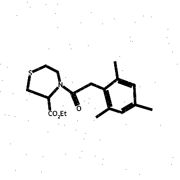 CCOC(=O)C1CSCCN1C(=O)Cc1c(C)cc(C)cc1C